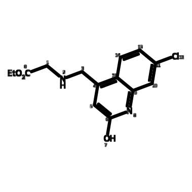 CCOC(=O)CNCc1cc(O)nc2cc(Cl)ccc12